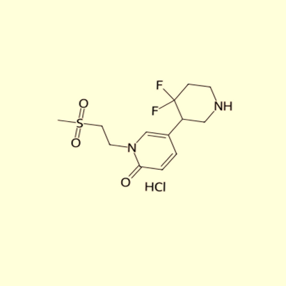 CS(=O)(=O)CCn1cc(C2CNCCC2(F)F)ccc1=O.Cl